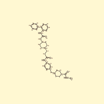 CCNC(=O)C1CCN(Cc2ccc(NC(=O)CCN3CCC(OC(=O)Nc4ccccc4-c4ccccc4)CC3)cc2)CC1